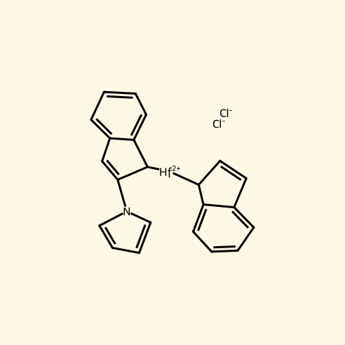 C1=C[CH]([Hf+2][CH]2C(n3cccc3)=Cc3ccccc32)c2ccccc21.[Cl-].[Cl-]